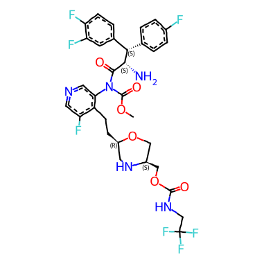 COC(=O)N(C(=O)[C@@H](N)[C@@H](c1ccc(F)cc1)c1ccc(F)c(F)c1)c1cncc(F)c1CC[C@@H]1CN[C@H](COC(=O)NCC(F)(F)F)CO1